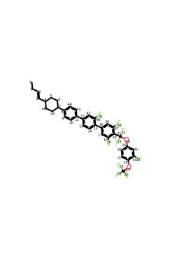 CC/C=C/C1CCC(c2ccc(-c3ccc(-c4cc(F)c(C(F)(F)Oc5ccc(OC(F)(F)F)c(F)c5)c(F)c4)c(F)c3)cc2)CC1